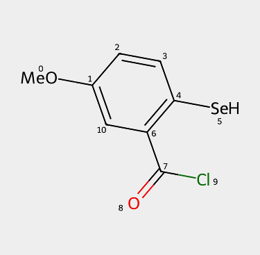 COc1ccc([SeH])c(C(=O)Cl)c1